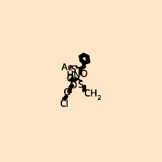 C=CCSC[C@H](NC(=O)[C@H](CSC(C)=O)Cc1ccccc1)C(=O)OCCOCCCl